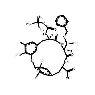 C[C@H](OCc1ccccc1)[C@@H]1NC(=O)[C@@H](NC(=O)OC(C)(C)C)Cc2cc(I)c(O)c(c2)Oc2c(Br)cc(cc2Br)CC(C(=O)O)NC1=O